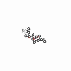 CC1(C)c2ccccc2-c2ccc(-n3c4ccccc4c4ccc(N(c5ccccc5)c5ccc(-c6ccccc6N(c6ccc7c8cc9c(cc8n(-c8ccccc8)c7c6)oc6ccccc69)c6cccc7ccccc67)cc5)cc43)cc21